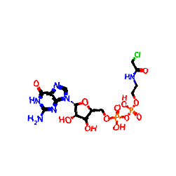 Nc1nc2c(ncn2[C@@H]2OC(COP(=O)(O)OP(=O)(O)OCCNC(=O)CCl)C(O)[C@H]2O)c(=O)[nH]1